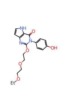 CCOCCOCCOc1nc2cc[nH]c2c(=O)n1-c1ccc(O)cc1